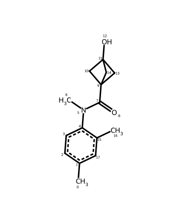 Cc1ccc(N(C)C(=O)C23CC(O)(C2)C3)c(C)c1